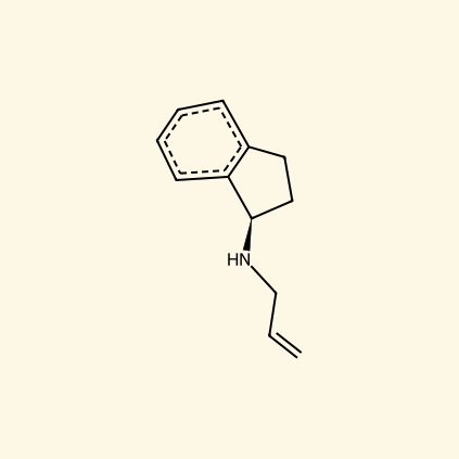 C=CCN[C@@H]1CCc2ccccc21